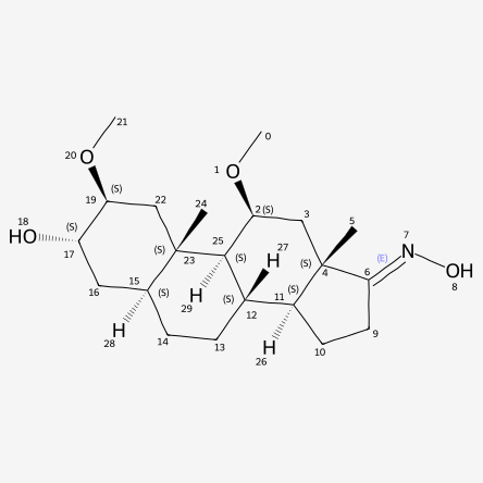 CO[C@H]1C[C@]2(C)/C(=N/O)CC[C@H]2[C@@H]2CC[C@H]3C[C@H](O)[C@@H](OC)C[C@]3(C)[C@H]21